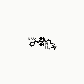 CN/C(=C\C(=N)C(=N)/C(C)=C(N)/C=C\COC1(C)CC1)N1CCCC1